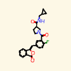 O=C1OC(=Cc2ccc(F)c(C(=O)N3CC[C@@H](C(=O)NCC4CC4)C3)c2)c2ccccc21